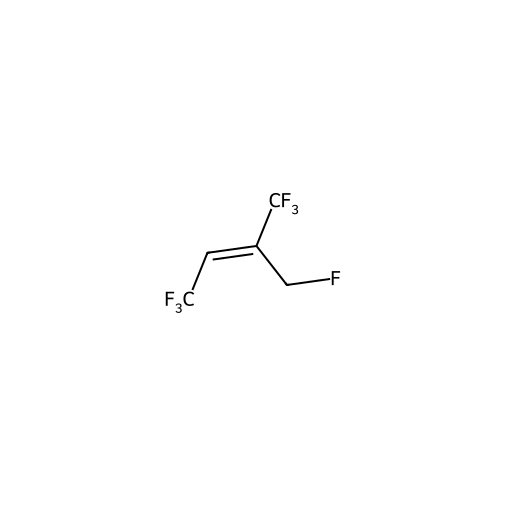 FCC(=CC(F)(F)F)C(F)(F)F